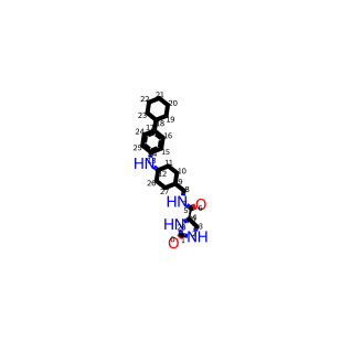 O=C1NC[C@H](C(=O)NCC2CCC(Nc3ccc(C4CCCCC4)cc3)CC2)N1